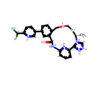 C[C@H]1CCOCc2ccc(-c3ccc(C(F)F)nc3)cc2C(=O)Nc2cccc(n2)-c2nncn21